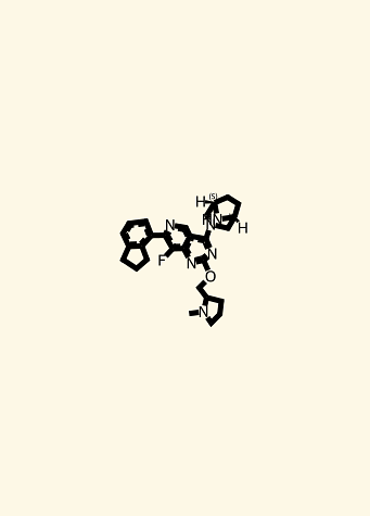 CN1CCCC1COc1nc(N2C[C@H]3CC[C@@H](C2)N3)c2cnc(-c3cccc4c3CCC4)c(F)c2n1